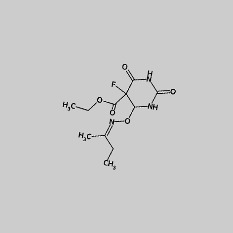 CCOC(=O)C1(F)C(=O)NC(=O)NC1ON=C(C)CC